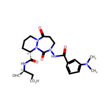 CN(C)c1cccc(C(=O)NN2CCC(=O)N3CCC[C@@H](C(=O)N[C@H](C=O)CC(=O)O)N3C2=O)c1